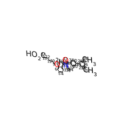 [2H]C(c1ccccc1OCCCCCC(=O)O)N(C(=O)c1ccc(-c2cc(C)cc(C)c2)cc1)C1CC1